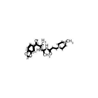 CC(NC(=O)CCN1CCN(C)CC1)NC(C)C(=O)c1ccc2c(c1)OCO2